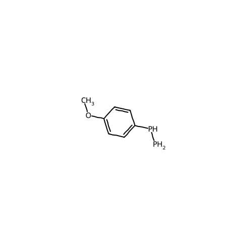 COc1ccc(PP)cc1